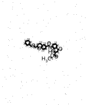 CCOC(=O)c1cc(=O)c2cccc(NC(=O)c3ccc4c(c3)CCC(COCc3ccccc3)O4)c2o1